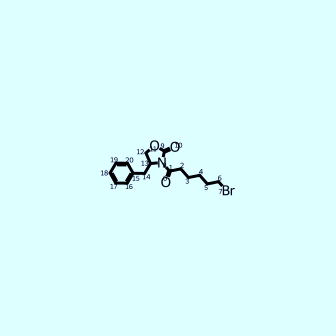 O=C(CCCCCBr)N1C(=O)OCC1Cc1ccccc1